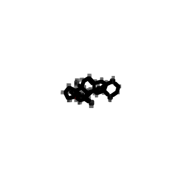 C[C@]12CC3OCCOC34CC1=CC[C@@H]1C2C(=O)C[C@]2(C)C(CC[C@H]12)OCCO4